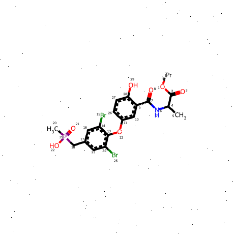 CC(C)OC(=O)C(C)NC(=O)c1cc(Oc2c(Br)cc(CP(C)(=O)O)cc2Br)ccc1O